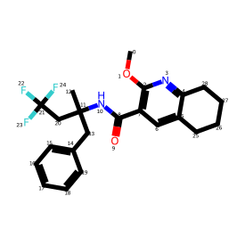 COc1nc2c(cc1C(=O)NC(C)(Cc1ccccc1)CC(F)(F)F)CCCC2